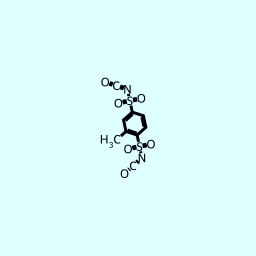 Cc1cc(S(=O)(=O)N=C=O)ccc1S(=O)(=O)N=C=O